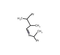 CC(C)C(C)/N=C\C(C)C(C)C(C)C